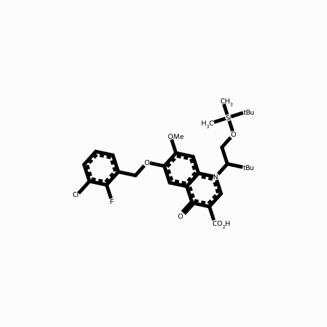 COc1cc2c(cc1OCc1cccc(Cl)c1F)c(=O)c(C(=O)O)cn2C(CO[Si](C)(C)C(C)(C)C)C(C)(C)C